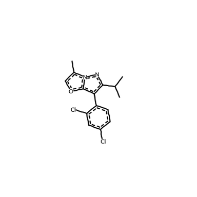 Cc1coc2c(-c3ccc(Cl)cc3Cl)c(C(C)C)nn12